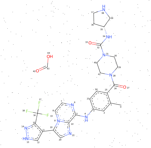 Cc1cc(Nc2nccn3c(-c4c[nH]nc4C(F)(F)F)cnc23)ccc1C(=O)N1CCN(C(=O)N[C@@H]2CCNC2)CC1.O=CO